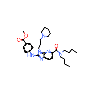 CCCCN(CCCC)C(=O)c1ccc2nc(Nc3ccc(C(=O)OC)cc3)n(CCCN3CCCCC3)c2n1